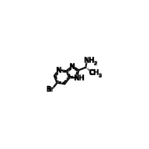 C[C@@H](N)c1nc2ncc(Br)cc2[nH]1